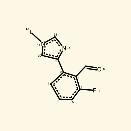 O=Cc1c(F)cccc1-c1cn(I)cn1